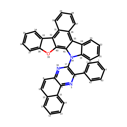 c1ccc(-c2nc3c(ccc4ccccc43)nc2-n2c3ccccc3c3c4ccccc4c4c5ccccc5oc4c32)cc1